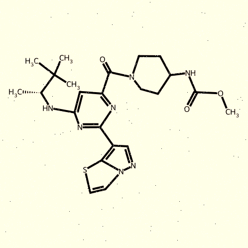 COC(=O)NC1CCN(C(=O)c2cc(N[C@H](C)C(C)(C)C)nc(-c3cnn4ccsc34)n2)CC1